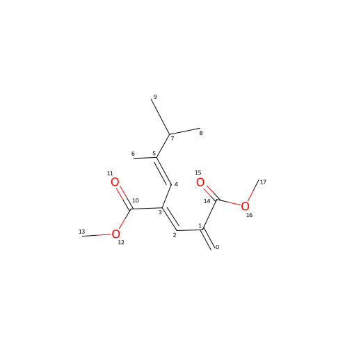 C=C(/C=C(\C=C(/C)C(C)C)C(=O)OC)C(=O)OC